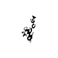 Cc1nc2c(-c3ccc(F)cc3F)cc([C@H]3CCO[C@@H](c4cnn(C5CC5)c4)C3)nc2c(=O)n1C